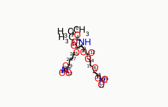 CC(C)(C)OC(=O)NC(COC(=O)OCCOCCO[N+](=O)[O-])C(=O)OCCCCO[N+](=O)[O-]